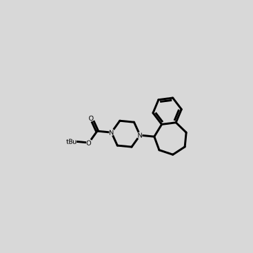 CC(C)(C)OC(=O)N1CCN(C2CCCCc3ccccc32)CC1